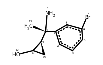 N[C@](c1cccc(Br)c1)([C@H]1CC1O)C(F)(F)F